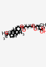 CC(=O)[C@H]1CC[C@H]2[C@@H]3CC[C@H]4C[C@H](OC(=O)CCCCOC(=O)CC(C)CC(=O)O)CC[C@]4(C)[C@H]3CC[C@]12C